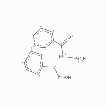 O=C(NS(=O)(=O)O)c1ccccc1.OCCc1ccccc1